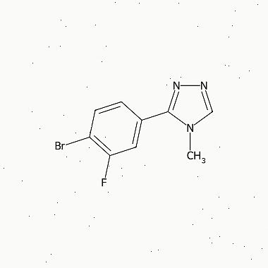 Cn1cnnc1-c1ccc(Br)c(F)c1